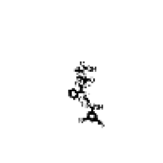 CC1(C)S[C@@H]2C(NC(=O)C(NC(=O)CNC(=N)c3cc(C#N)cc(C#N)c3)c3ccccc3)C(=O)N2[C@H]1C(=O)O